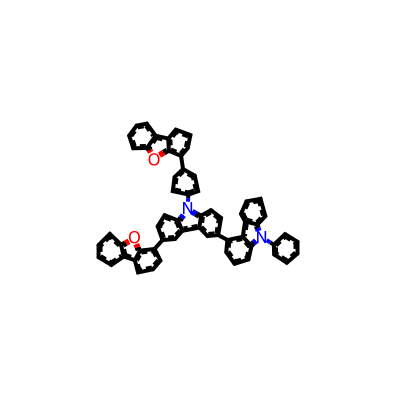 c1ccc(-n2c3ccccc3c3c(-c4ccc5c(c4)c4cc(-c6cccc7c6oc6ccccc67)ccc4n5-c4ccc(-c5cccc6c5oc5ccccc56)cc4)cccc32)cc1